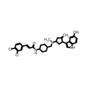 C=C1CC(N(C)CC2CCC(NC(=O)/C=C/c3ccc(Cl)c(Cl)c3)CC2)CC1c1c[nH]c2ccc(O)cc12